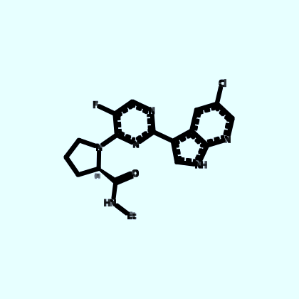 CCNC(=O)[C@H]1CCCN1c1nc(-c2c[nH]c3ncc(Cl)cc23)ncc1F